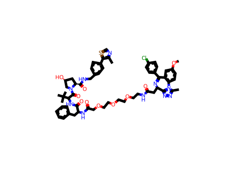 COc1ccc2c(c1)C(c1ccc(Cl)cc1)=NC(CC(=O)NCCOCCOCCOCC(=O)NC(Cc1ccccc1)C(=O)NC(C(=O)N1C[C@H](O)C[C@H]1C(=O)NCc1ccc(-c3scnc3C)cc1)C(C)(C)C)c1nnc(C)n1-2